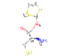 N[C@@H](CS)C(=O)OC1SC=CS1